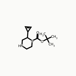 CC(C)(C)OC(=O)N1CCNCC1C1C=C1